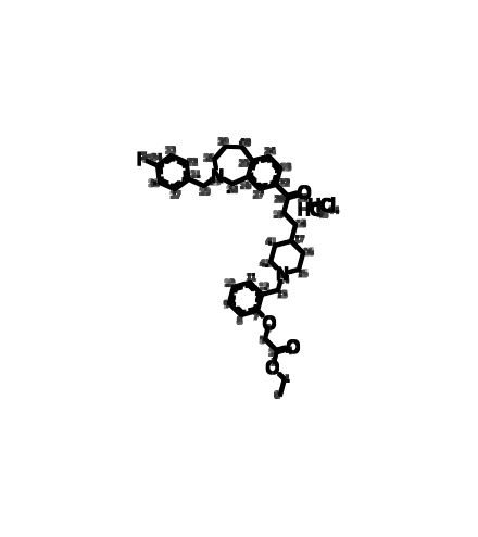 CCOC(=O)COc1ccccc1CN1CCC(CCC(=O)c2ccc3c(c2)CN(Cc2ccc(F)cc2)CCC3)CC1.Cl.Cl